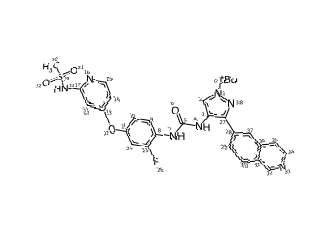 CC(C)(C)n1cc(NC(=O)Nc2ccc(Oc3ccnc(NS(C)(=O)=O)c3)cc2F)c(-c2ccc3cnccc3c2)n1